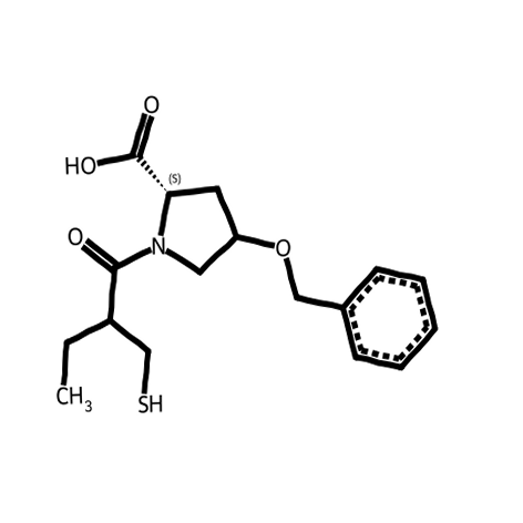 CCC(CS)C(=O)N1CC(OCc2ccccc2)C[C@H]1C(=O)O